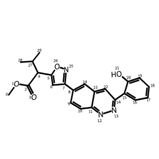 COC(=O)C(c1cc(-c2ccc3nnc(-c4ccccc4O)cc3c2)no1)C(C)C